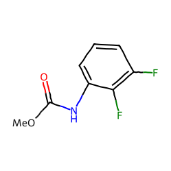 COC(=O)Nc1cccc(F)c1F